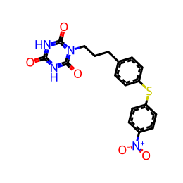 O=c1[nH]c(=O)n(CCCc2ccc(Sc3ccc([N+](=O)[O-])cc3)cc2)c(=O)[nH]1